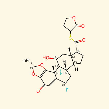 CCC[C@H]1OC2=C(O1)[C@@]1(C)C(=CC2=O)[C@@H](F)C[C@H]2[C@@H]3CC[C@@H](C(=O)SC4CCOC4=O)[C@@]3(C)C[C@H](O)[C@@]21F